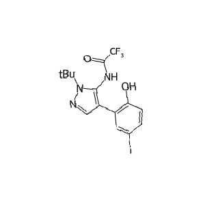 CC(C)(C)n1ncc(-c2cc(I)ccc2O)c1NC(=O)C(F)(F)F